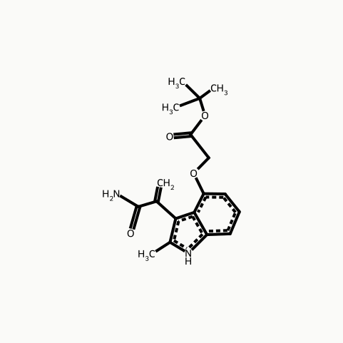 C=C(C(N)=O)c1c(C)[nH]c2cccc(OCC(=O)OC(C)(C)C)c12